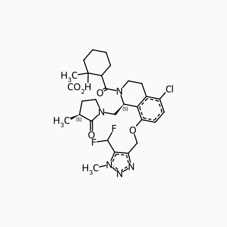 C[C@H]1CCN(C[C@@H]2c3c(OCc4nnn(C)c4C(F)F)ccc(Cl)c3CCN2C(=O)C2CCCCC2(C)C(=O)O)C1=O